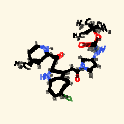 Cc1ccnc(C(=O)c2[nH]c3ccc(Cl)cc3c2CC(=O)N2CCC(NC(=O)OC(C)(C)C)C2)c1